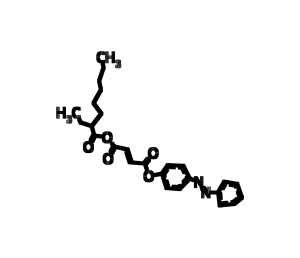 CCCCCCC(CC)C(=O)OC(=O)/C=C/C(=O)Oc1ccc(N=Nc2ccccc2)cc1